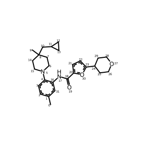 Cc1ccc(N2CCC(C)(CC3CC3)CC2)c(NC(=O)c2ccc(C3CCOCC3)o2)c1